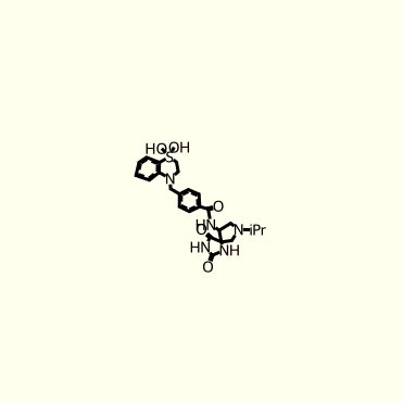 CC(C)N1CC(NC(=O)c2ccc(CN3CCS(O)(O)c4ccccc43)cc2)C2(C1)NC(=O)NC2=O